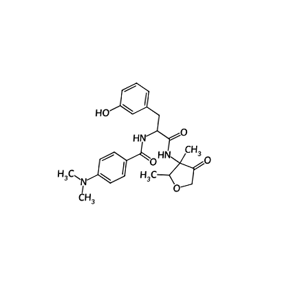 CC1OCC(=O)C1(C)NC(=O)C(Cc1cccc(O)c1)NC(=O)c1ccc(N(C)C)cc1